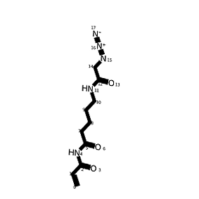 C=CC(=O)NC(=O)CCCCNC(=O)CN=[N+]=[N-]